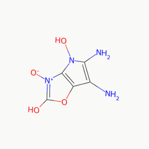 Nc1c(N)n(O)c2c1oc(O)[n+]2[O-]